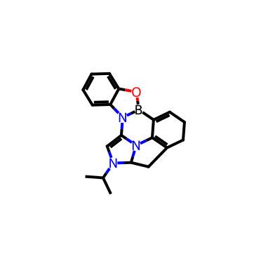 CC(C)N1C=C2N3B(Oc4ccccc43)C3=CCCC4=C3N2C1C4